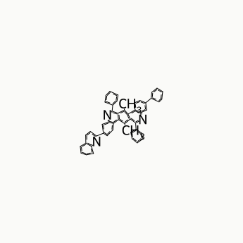 Cc1c2c(-c3ccccc3)nc3cc(-c4ccc5ccccc5n4)ccc3c2c(C)c2c(-c3ccccc3)nc3cc(-c4ccccc4)ccc3c12